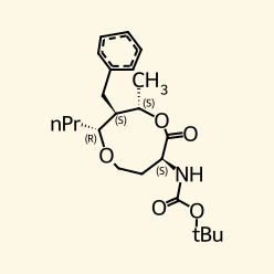 CCC[C@H]1OCC[C@H](NC(=O)OC(C)(C)C)C(=O)O[C@@H](C)[C@@H]1Cc1ccccc1